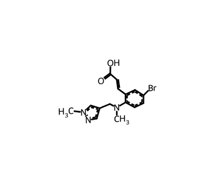 CN(Cc1cnn(C)c1)c1ccc(Br)cc1C=CC(=O)O